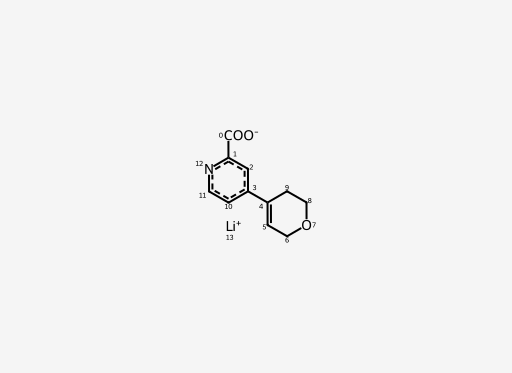 O=C([O-])c1cc(C2=CCOCC2)ccn1.[Li+]